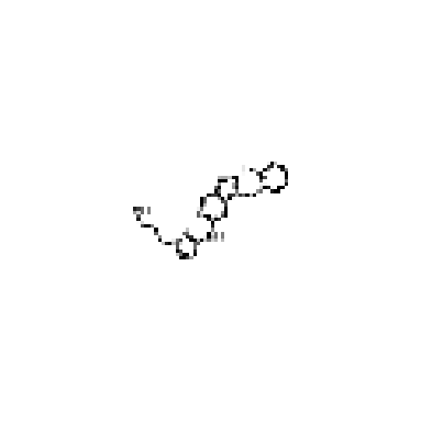 OCCCn1ccc(Nc2cc3c(cn2)cnn3Cc2ccccc2F)n1